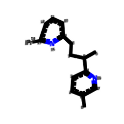 Cc1ccc(C(C)CCc2cccc(C(C)C)n2)nc1